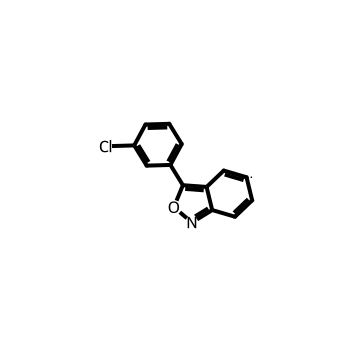 Clc1cccc(-c2onc3cc[c]cc23)c1